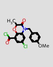 COc1ccc(CN2C(=O)C(C)Oc3c(C(=O)Cl)cc(Cl)cc32)cc1